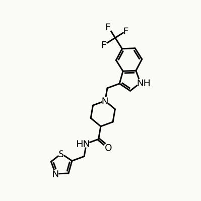 O=C(NCc1cncs1)C1CCN(Cc2c[nH]c3ccc(C(F)(F)F)cc23)CC1